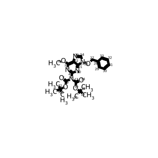 COc1nc(N(C(=O)OC(C)(C)C)C(=O)OC(C)(C)C)nc2c1ncn2OCc1ccccc1